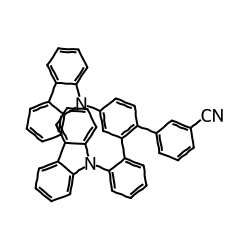 N#Cc1cccc(-c2ccc(-n3c4ccccc4c4ccccc43)cc2-c2ccccc2-n2c3ccccc3c3ccccc32)c1